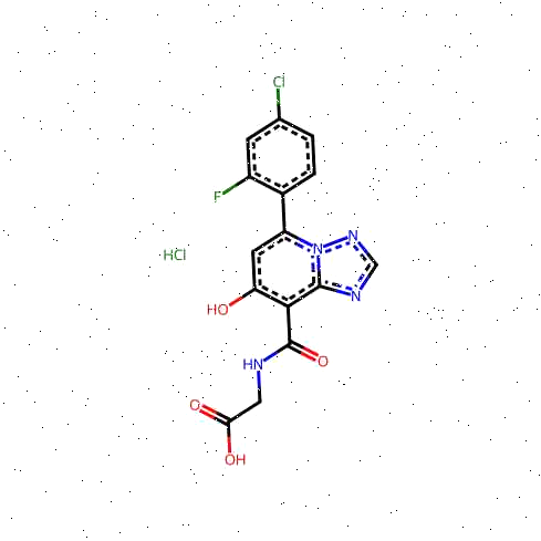 Cl.O=C(O)CNC(=O)c1c(O)cc(-c2ccc(Cl)cc2F)n2ncnc12